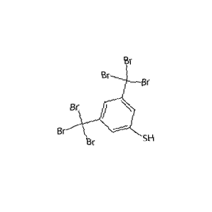 Sc1cc(C(Br)(Br)Br)cc(C(Br)(Br)Br)c1